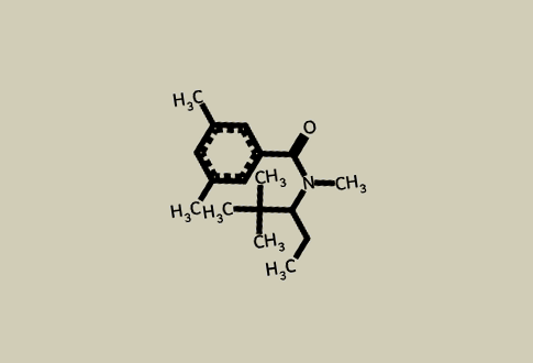 CCC(N(C)C(=O)c1cc(C)cc(C)c1)C(C)(C)C